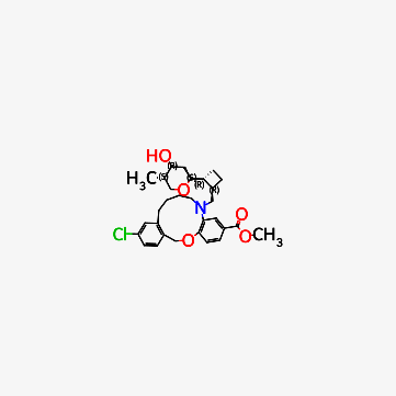 COC(=O)c1ccc2c(c1)N(C[C@@H]1CC[C@H]1[C@@H]1C[C@@H](O)[C@@H](C)CO1)CCCCc1cc(Cl)ccc1CO2